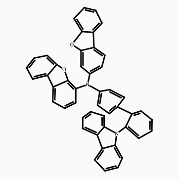 c1ccc(-n2c3ccccc3c3ccccc32)c(-c2ccc(N(c3ccc4c(c3)oc3ccccc34)c3cccc4c3oc3ccccc34)cc2)c1